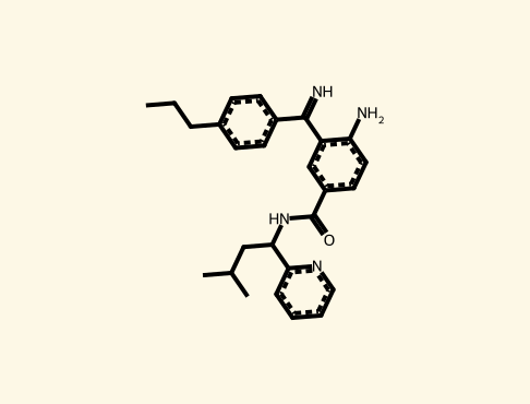 CCCc1ccc(C(=N)c2cc(C(=O)NC(CC(C)C)c3ccccn3)ccc2N)cc1